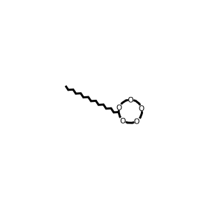 CCCCCCCCCCCCCCC1COCCOCCOCCOCCO1